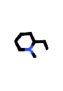 [CH2]N1CCCCC1CC